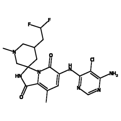 Cc1cc(Nc2ncnc(N)c2Cl)c(=O)n2c1C(=O)NC21CC(CC(F)F)CN(C)C1